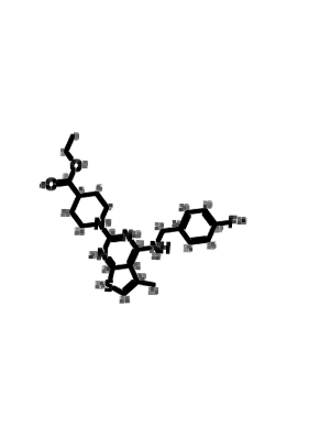 CCOC(=O)C1CCN(c2nc(NCc3ccc(F)cc3)c3c(C)csc3n2)CC1